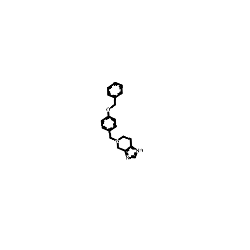 c1ccc(COc2ccc(CN3CCc4[nH]cnc4C3)cc2)cc1